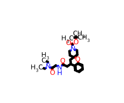 CCN(CC)C(=O)CNC(=O)CC1CC2(CCN(C(=O)OC(C)(C)C)CC2)Oc2ccccc21